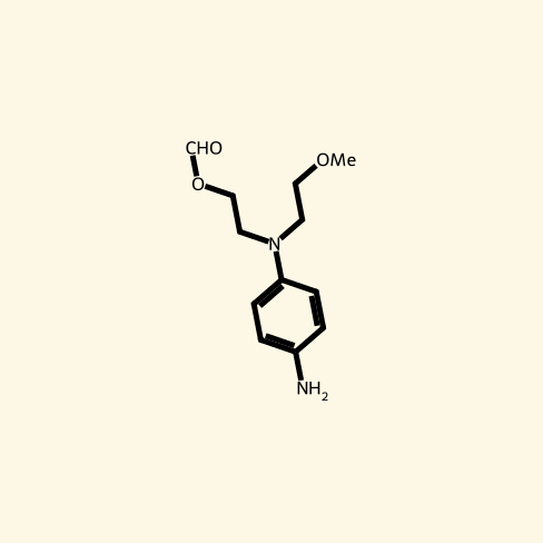 COCCN(CCOC=O)c1ccc(N)cc1